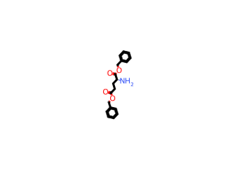 N[C@H](CCC(=O)OCc1ccccc1)C(=O)OCc1ccccc1